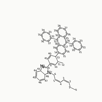 CC/C=C\C=C/CN1C(C2=CC(C)C(c3ccc4c(-c5ccccc5)c5ccccc5c(-c5ccccc5)c4c3)C=C2)=NC2C=CC=CC21